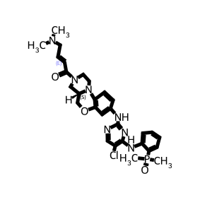 CN(C)C/C=C/C(=O)N1CCN2c3ccc(Nc4ncc(Cl)c(Nc5ccccc5P(C)(C)=O)n4)cc3OC[C@@H]2C1